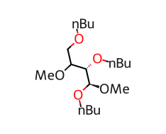 CCCCOCC(OC)[C@H](OCCCC)[C@@H](OC)OCCCC